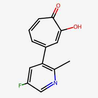 Cc1ncc(F)cc1-c1cccc(=O)c(O)c1